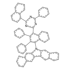 c1ccc(-c2nc(-c3cccc4ccccc34)nc(-c3c(-c4ccccc4)c(-c4ccccc4)c(-n4c5cc6ccccc6cc5c5cc6ccccc6cc54)c4ccccc34)n2)cc1